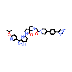 CC(C)Oc1ccc(-c2n[nH]c3ccc(N4CC[C@]5(CCN(CC(=O)N6CC=C(c7ccc(-c8cn(C)cn8)cc7)CC6)C5)C4=O)nc23)cn1